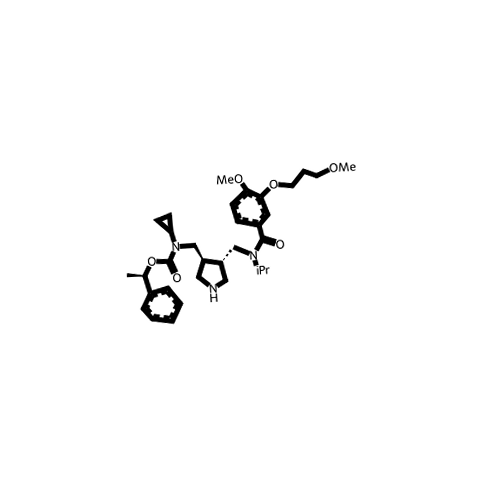 COCCCOc1cc(C(=O)N(C[C@@H]2CNC[C@H]2CN(C(=O)O[C@H](C)c2ccccc2)C2CC2)C(C)C)ccc1OC